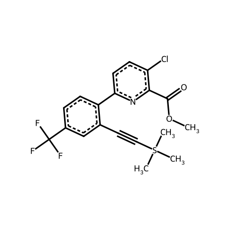 COC(=O)c1nc(-c2ccc(C(F)(F)F)cc2C#CS(C)(C)C)ccc1Cl